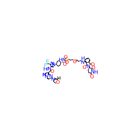 O=C1CCC(N2C(=O)c3cccc(NCCCOCCCS(=O)(=O)NC(=O)[C@H]4CC[C@H](n5cc(NC(=O)c6cnn7ccc(N8C[C@H]9CC8CO9)nc67)c(C(F)F)n5)CC4)c3C2=O)C(=O)N1